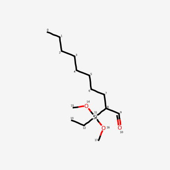 CCCCCCCCC(C=O)[Si](CC)(OC)OC